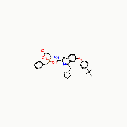 CC(C)(C)c1ccc(Oc2ccc3cc(C(=O)NC(CC(=O)O)S(=O)(=O)Cc4ccccc4)nc(CC4CCCC4)c3c2)cc1